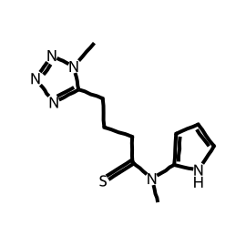 CN(C(=S)CCCc1nnnn1C)c1ccc[nH]1